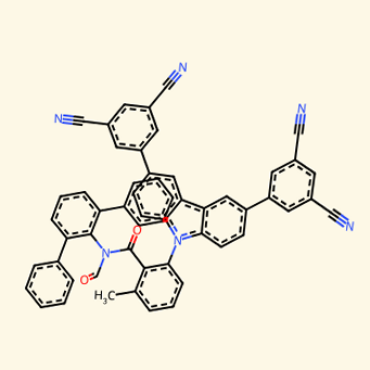 Cc1cccc(-n2c3ccc(-c4cc(C#N)cc(C#N)c4)cc3c3cc(-c4cc(C#N)cc(C#N)c4)ccc32)c1C(=O)N(C=O)c1c(-c2ccccc2)cccc1-c1ccccc1